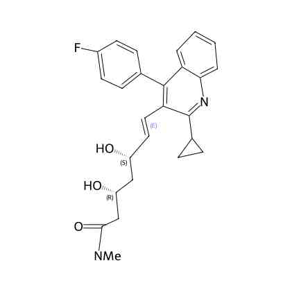 CNC(=O)C[C@H](O)C[C@H](O)/C=C/c1c(C2CC2)nc2ccccc2c1-c1ccc(F)cc1